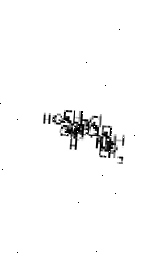 CC(CO)c1cc(Oc2c(Cl)cc(-c3nn(C)c(=O)[nH]c3=O)cc2Cl)n[nH]c1=O